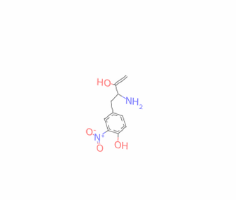 C=C(O)C(N)Cc1ccc(O)c([N+](=O)[O-])c1